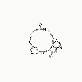 O=c1ccccoc2cccc(c2)ncc2c(=O)nc3ncnc(nccn1)c32